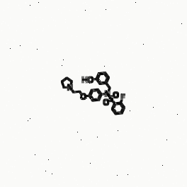 O=S(=O)(c1ccccc1F)N(Cc1cccc(O)c1)c1ccc(OCCN2CCCC2)cc1